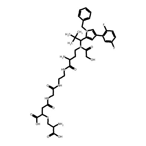 CC(C)(C)C(c1cc(-c2cc(F)ccc2F)cn1Cc1ccccc1)N(CCC(N)C(=O)NCCNC(=O)CNC(=O)CC(SCC(N)C(=O)O)C(=O)O)C(=O)CO